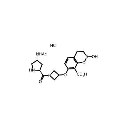 CC(=O)N[C@H]1CN[C@H](C(=O)N2CC(Oc3ccc4c(c3C(=O)O)OB(O)CC4)C2)C1.Cl